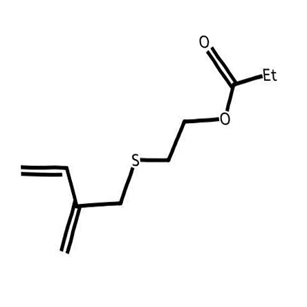 C=CC(=C)CSCCOC(=O)CC